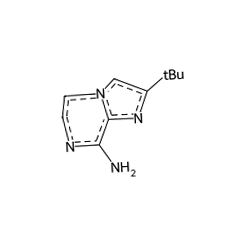 CC(C)(C)c1cn2ccnc(N)c2n1